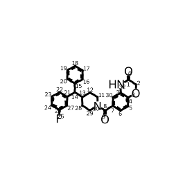 O=C1COc2ccc(C(=O)N3CCC(C(c4ccccc4)c4cccc(F)c4)CC3)cc2N1